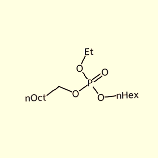 CCCCCCCCCOP(=O)(OCC)OCCCCCC